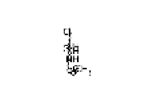 COc1cccc2c1CC(CCCNCCCNC(=O)NCCCCCCCl)CC2